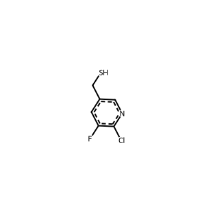 Fc1cc(CS)cnc1Cl